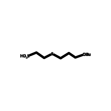 CC(C)COCCCSCCS(=O)(=O)O